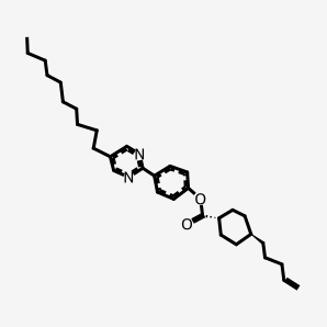 C=CCCC[C@H]1CC[C@H](C(=O)Oc2ccc(-c3ncc(CCCCCCCCCC)cn3)cc2)CC1